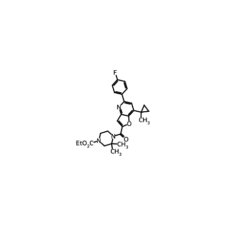 CCOC(=O)N1CCN(C(=O)c2cc3nc(-c4ccc(F)cc4)cc(C4(C)CC4)c3o2)C(C)(C)C1